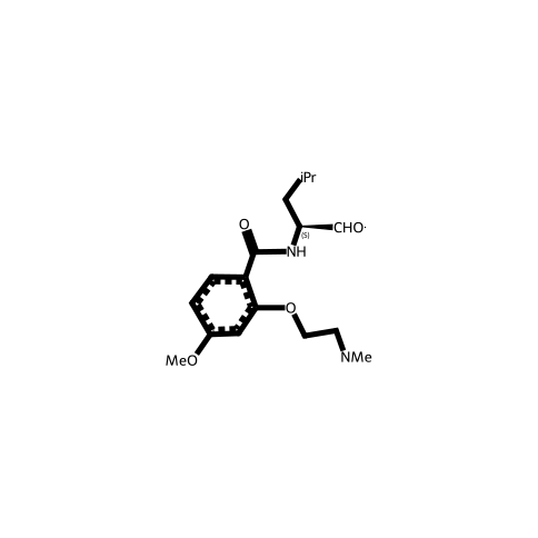 CNCCOc1cc(OC)ccc1C(=O)N[C@H]([C]=O)CC(C)C